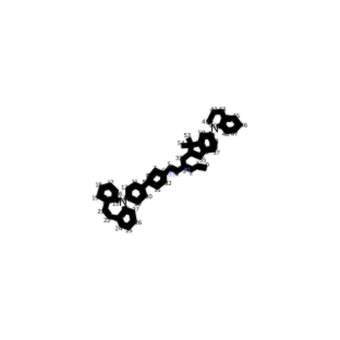 C=C/C=C(/C=C/c1ccc(-c2ccc(N3c4ccccc4C=Cc4ccccc43)cc2)cc1)CC1=Cc2c#cc(N3CCCc4ccccc43)cc2C1(C)C